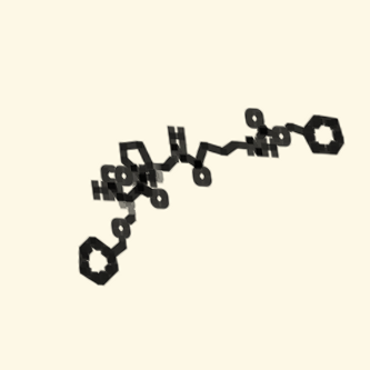 O=C(O)N[C@@H](COCc1ccccc1)C(=O)N1CCC[C@H]1CNC(=O)CCCNC(=O)OCc1ccccc1